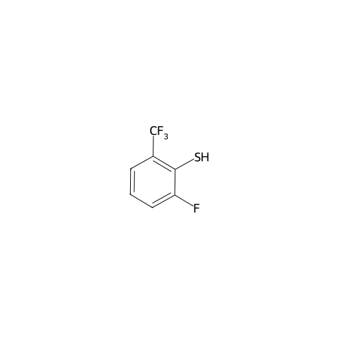 Fc1cccc(C(F)(F)F)c1S